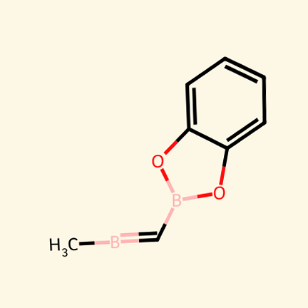 CB=CB1Oc2ccccc2O1